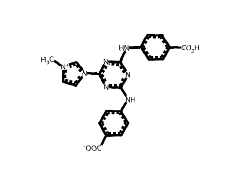 C[n+]1ccn(-c2nc(Nc3ccc(C(=O)[O-])cc3)nc(Nc3ccc(C(=O)O)cc3)n2)c1